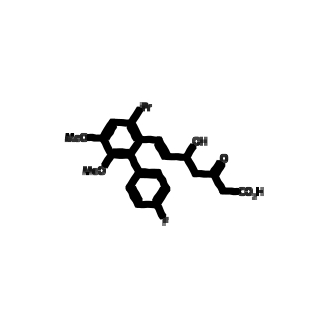 COc1cc(C(C)C)c(/C=C/C(O)CC(=O)CC(=O)O)c(-c2ccc(F)cc2)c1OC